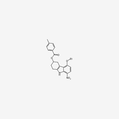 CCOc1ccc([N+](=O)[O-])c2[nH]c3c(c12)CC(OC(=O)c1ccc(C)cc1)CC3